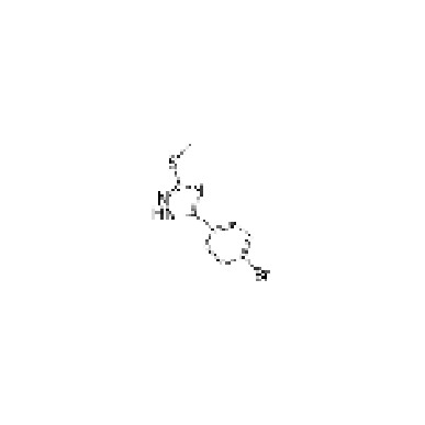 CSc1n[nH]c(-c2ccc(Br)cc2)n1